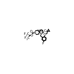 O=C(OC(C(F)(F)F)C(F)(F)F)N1CCC2(CCCN2Cc2cc(F)ccc2OCC2(C(=O)O)CC2)CC1